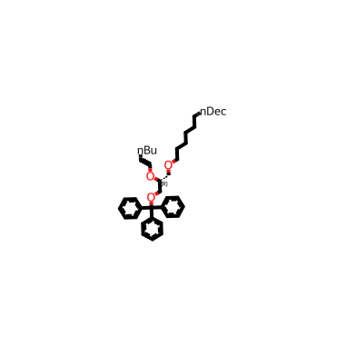 CCCCC=CO[C@H](COCCCCCCCCCCCCCCCC)COC(c1ccccc1)(c1ccccc1)c1ccccc1